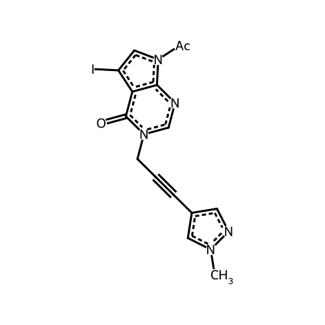 CC(=O)n1cc(I)c2c(=O)n(CC#Cc3cnn(C)c3)cnc21